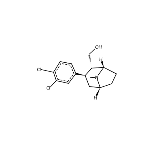 CN1[C@@H]2CC[C@H]1[C@@H](CO)[C@H](c1ccc(Cl)c(Cl)c1)C2